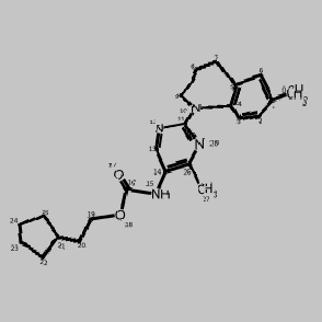 Cc1ccc2c(c1)CCCN2c1ncc(NC(=O)OCCC2CCCC2)c(C)n1